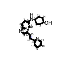 O[C@H]1CC[C@H](Nc2ccc3ncc(/C=C/c4ccccn4)n3n2)CC1